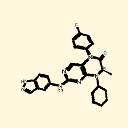 C[C@@H]1C(=O)N(c2ccc(F)cc2)c2cnc(Nc3ccc4[nH]ncc4c3)nc2N1C1CCCCC1